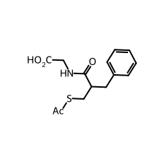 CC(=O)SCC(Cc1ccccc1)C(=O)NCC(=O)O